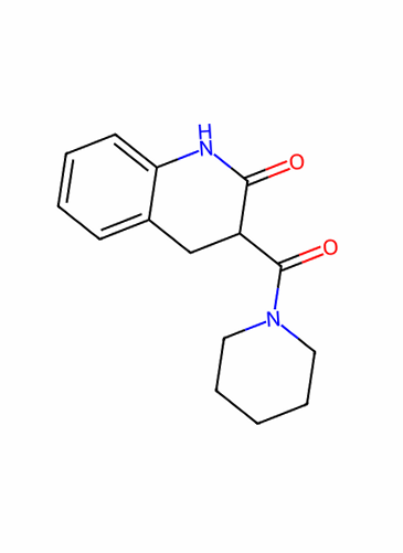 O=C1Nc2ccccc2CC1C(=O)N1CCCCC1